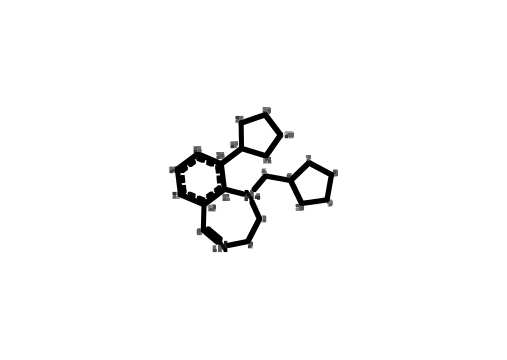 C1=NCCN(CC2CCCC2)c2c1cccc2C1CCCC1